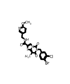 COc1ccc(CNC(=O)c2cn3c(=O)n(Cc4ccc(Br)c(Cl)c4)c(=O)c(C)c3s2)cn1